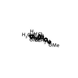 COc1cc(C)[nH]c(=O)c1CNC(=O)c1cc(Cl)c2c(c1C)O[C@@H](C1CCC(N3CC[C@@H](OC)C3)CC1)CO2